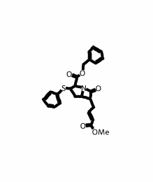 COC(=O)C=CCC1C(=O)N2C1CC(Sc1ccccc1)C2C(=O)OCc1ccccc1